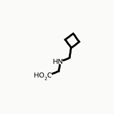 O=C(O)CNCC1CCC1